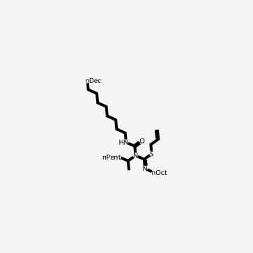 C=CCSC(=NCCCCCCCC)N(C(=O)NCCCCCCCCCCCCCCCCCC)C(C)CCCCC